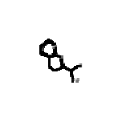 O=CC(Cl)C1=Nc2ccccc2CC1